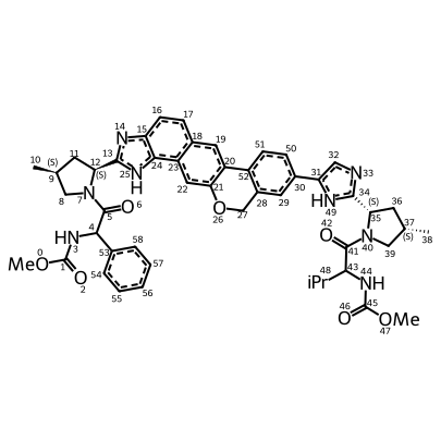 COC(=O)NC(C(=O)N1C[C@@H](C)C[C@H]1c1nc2ccc3cc4c(cc3c2[nH]1)OCc1cc(-c2cnc([C@@H]3C[C@H](C)CN3C(=O)C(NC(=O)OC)C(C)C)[nH]2)ccc1-4)c1ccccc1